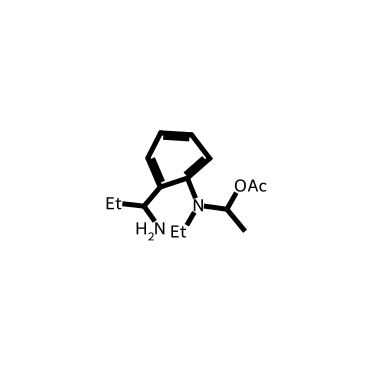 CCC(N)c1ccccc1N(CC)C(C)OC(C)=O